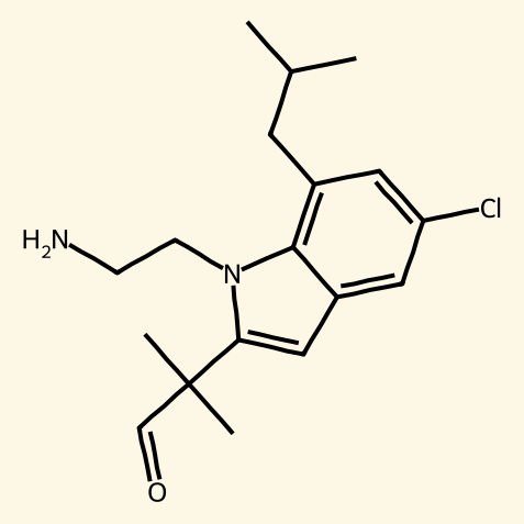 CC(C)Cc1cc(Cl)cc2cc(C(C)(C)C=O)n(CCN)c12